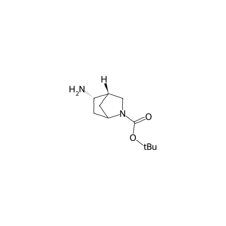 CC(C)(C)OC(=O)N1C[C@@H]2CC1C[C@@H]2N